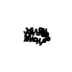 CC(=O)Nc1ccc2ccn(CCC[C@@H](O)n3cnc(C(N)=O)c3)c2c1